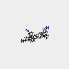 N#Cc1ccc(-c2cccc(-c3ccc(-n4c5ccccc5c5cc(C#N)ccc54)cc3)c2)c(-n2c3ccccc3c3cc(C#N)ccc32)c1